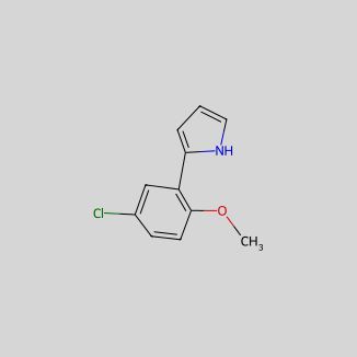 COc1ccc(Cl)cc1-c1ccc[nH]1